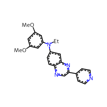 CCN(c1cc(OC)cc(OC)c1)c1ccc2ncc(-c3ccncc3)nc2c1